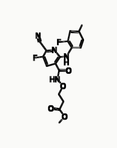 COC(=O)CCONC(=O)c1cc(F)c(C#N)nc1Nc1ccc(C)cc1F